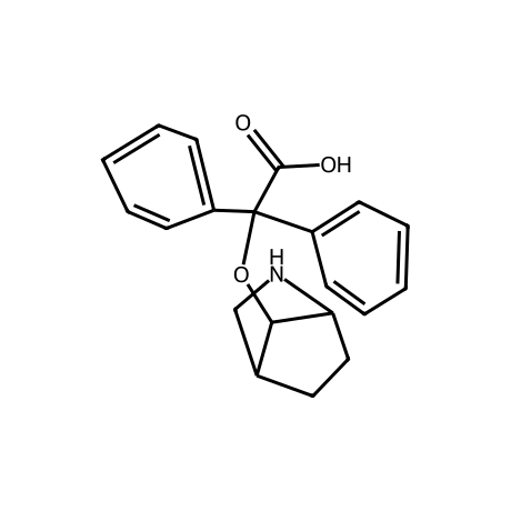 O=C(O)C(OC1C2CCC1NC2)(c1ccccc1)c1ccccc1